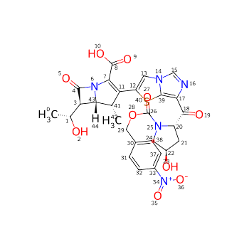 C[C@@H](O)[C@H]1C(=O)N2C(C(=O)O)=C(c3cn4cnc(C(=O)[C@@H]5C[C@@H](O)CN5C(=O)OCc5ccc([N+](=O)[O-])cc5)c4s3)[C@H](C)[C@H]12